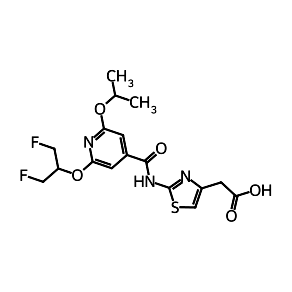 CC(C)Oc1cc(C(=O)Nc2nc(CC(=O)O)cs2)cc(OC(CF)CF)n1